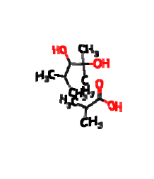 CC(C)C(=O)O.CC(C)C(O)C(C)(C)O